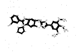 COc1cc(-c2nnc(Nc3cc4nc(-c5cccc(F)c5)n(C5CCCC5)c4cc3F)s2)cc(OC)c1OC